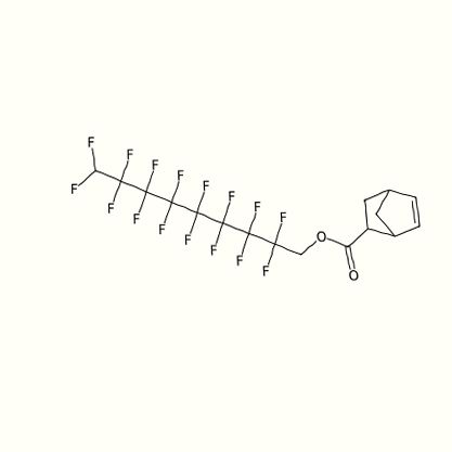 O=C(OCC(F)(F)C(F)(F)C(F)(F)C(F)(F)C(F)(F)C(F)(F)C(F)(F)C(F)F)C1CC2C=CC1C2